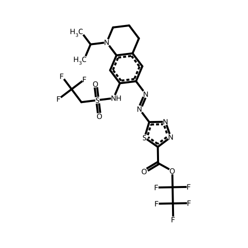 CC(C)N1CCCc2cc(N=Nc3nnc(C(=O)OC(F)(F)C(F)(F)F)s3)c(NS(=O)(=O)CC(F)(F)F)cc21